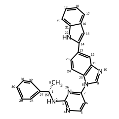 C[C@H](Nc1nccc(-n2cnc3cc(-c4cc5ccccc5[nH]4)ccc32)n1)c1ccccc1